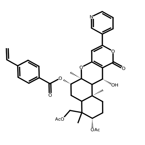 C=Cc1ccc(C(=O)O[C@H]2CC3C(C)(COC(C)=O)[C@@H](OC(C)=O)CC[C@]3(C)C3[C@@H](O)c4c(cc(-c5cccnc5)oc4=O)O[C@@]32C)cc1